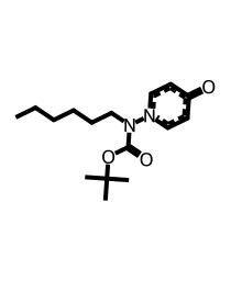 CCCCCCN(C(=O)OC(C)(C)C)n1ccc(=O)cc1